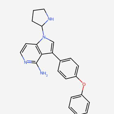 Nc1nccc2c1c(-c1ccc(Oc3ccccc3)cc1)cn2C1CCCN1